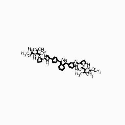 COC(=O)N[C@H](C(=O)N1CCC[C@H]1c1ncc(-c2ccc(-c3nnc(-c4ccc5[nH]c([C@@H]6CCCN6C(=O)[C@@H](NC(=O)OC)C(C)C)nc5c4)c4c3C=C=C=C4)cc2)[nH]1)C(C)C